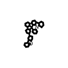 c1ccc(C2(c3cccc(-c4ccc5oc6ccccc6c5c4)c3)c3ccccc3-n3c4ccccc4c4cccc2c43)cc1